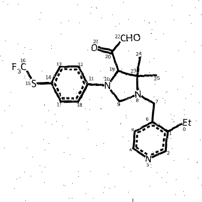 CCc1cnccc1CN1CN(c2ccc(SC(F)(F)F)cc2)C(C(=O)C=O)C1(C)C